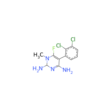 CN1C(F)=C(c2cccc(Cl)c2Cl)C(N)=NC1N